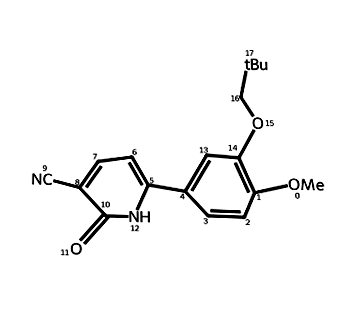 COc1ccc(-c2ccc(C#N)c(=O)[nH]2)cc1OCC(C)(C)C